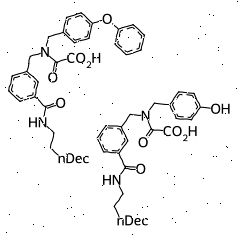 CCCCCCCCCCCCNC(=O)c1cccc(CN(Cc2ccc(O)cc2)C(=O)C(=O)O)c1.CCCCCCCCCCCCNC(=O)c1cccc(CN(Cc2ccc(Oc3ccccc3)cc2)C(=O)C(=O)O)c1